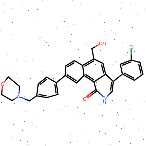 O=c1[nH]cc(-c2cccc(Cl)c2)c2cc(CO)c3ccc(-c4ccc(CN5CCOCC5)cc4)cc3c12